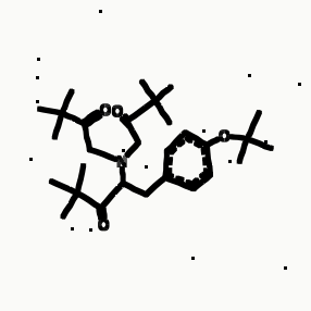 CC(C)(C)Oc1ccc(CC(C(=O)C(C)(C)C)N(CC(=O)C(C)(C)C)CC(=O)C(C)(C)C)cc1